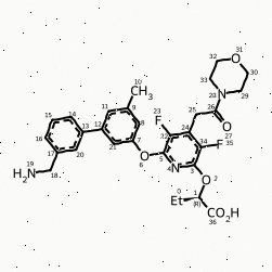 CC[C@@H](Oc1nc(Oc2cc(C)cc(-c3cccc(CN)c3)c2)c(F)c(CC(=O)N2CCOCC2)c1F)C(=O)O